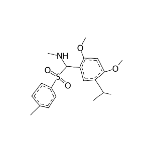 CNC(c1cc(C(C)C)c(OC)cc1OC)S(=O)(=O)c1ccc(C)cc1